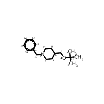 CC(C)(C)OCC1CCN(Cc2ccccc2)CC1